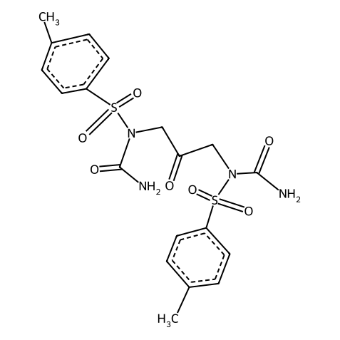 Cc1ccc(S(=O)(=O)N(CC(=O)CN(C(N)=O)S(=O)(=O)c2ccc(C)cc2)C(N)=O)cc1